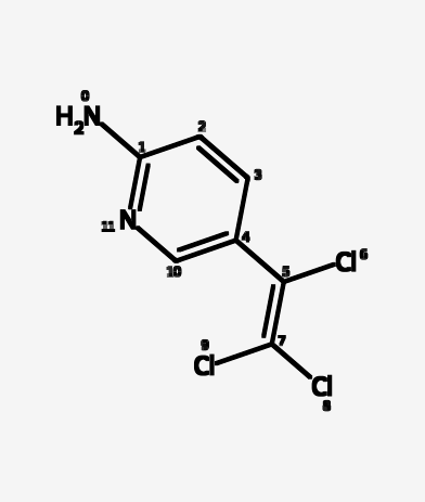 Nc1ccc(C(Cl)=C(Cl)Cl)cn1